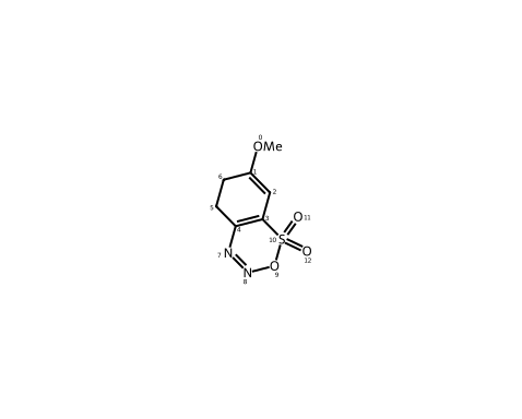 COC1=CC2=C(CC1)N=NOS2(=O)=O